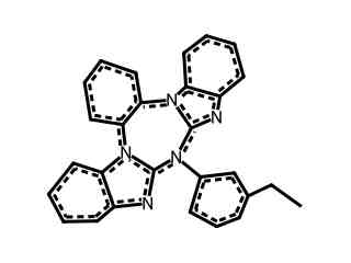 CCc1cccc(-n2c3nc4ccccc4n3c3ccccc3n3c4ccccc4nc23)c1